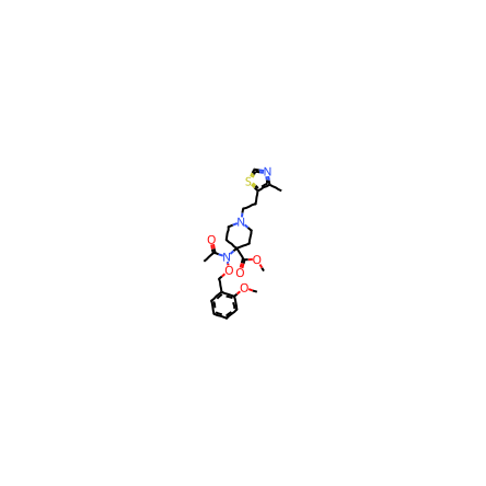 COC(=O)C1(N(OCc2ccccc2OC)C(C)=O)CCN(CCc2scnc2C)CC1